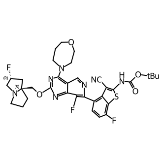 CC(C)(C)OC(=O)Nc1sc2c(F)ccc(-c3ncc4c(N5CCCOCC5)nc(OC[C@@]56CCCN5C[C@H](F)C6)nc4c3F)c2c1C#N